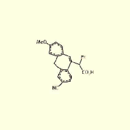 CCC(C(=O)O)C1=Cc2ccc(OC)cc2Cc2cc(C#N)ccc21